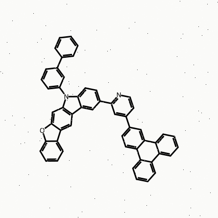 c1ccc(-c2cccc(-n3c4ccc(-c5cc(-c6ccc7c8ccccc8c8ccccc8c7c6)ccn5)cc4c4cc5c(cc43)oc3ccccc35)c2)cc1